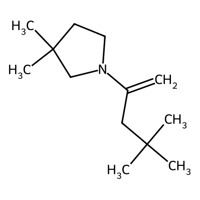 C=C(CC(C)(C)C)N1CCC(C)(C)C1